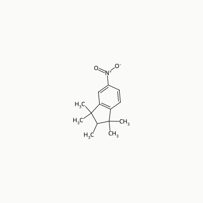 CC1C(C)(C)c2ccc([N+](=O)[O-])cc2C1(C)C